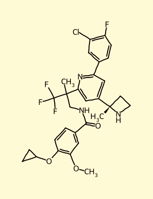 COc1cc(C(=O)NCC(C)(c2cc([C@]3(C)CCN3)cc(-c3ccc(F)c(Cl)c3)n2)C(F)(F)F)ccc1OC1CC1